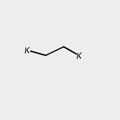 [K][CH2][CH2][K]